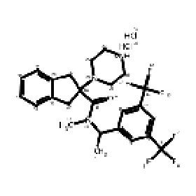 CC(c1cc(C(F)(F)F)cc(C(F)(F)F)c1)N(C)C(=O)C1(N2CCNCC2)Cc2ccccc2C1.Cl.Cl